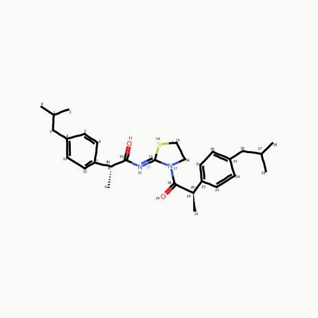 CC(C)Cc1ccc([C@@H](C)C(=O)/N=C2\SCCN2C(=O)[C@H](C)c2ccc(CC(C)C)cc2)cc1